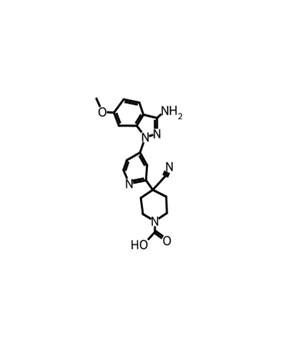 COc1ccc2c(N)nn(-c3ccnc(C4(C#N)CCN(C(=O)O)CC4)c3)c2c1